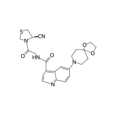 N#C[C@@H]1CSCN1C(=O)CNC(=O)c1ccnc2ccc(N3CCC4(CC3)OCCO4)cc12